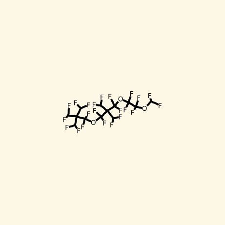 FC(F)OC(F)(F)C(F)(F)OC(F)(F)C(C(F)F)(C(F)F)C(F)(F)OC(F)(F)C(C(F)F)(C(F)F)C(F)F